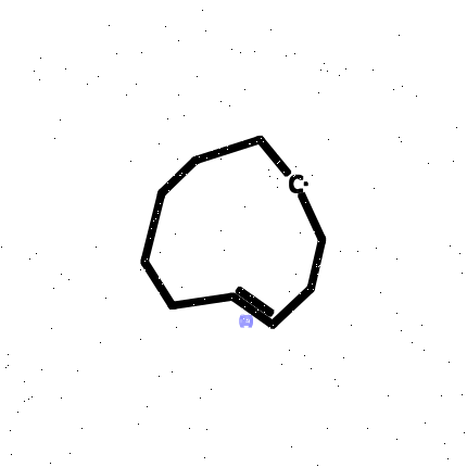 [CH]1CC/C=C/CCCCC1